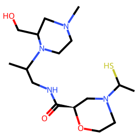 CC(S)N1CCO[C@@H](C(=O)NCC(C)N2CCN(C)CC2CO)C1